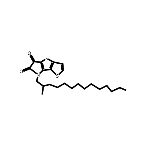 CCCCCCCCCCCCC(C)CN1C(=O)C(=O)c2sc3ccsc3c21